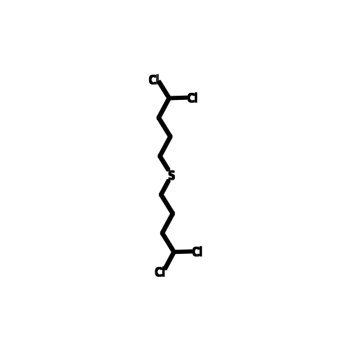 ClC(Cl)CCCSCCCC(Cl)Cl